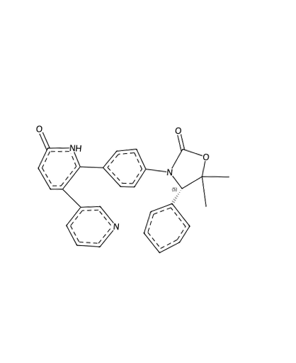 CC1(C)OC(=O)N(c2ccc(-c3[nH]c(=O)ccc3-c3cccnc3)cc2)[C@H]1c1ccccc1